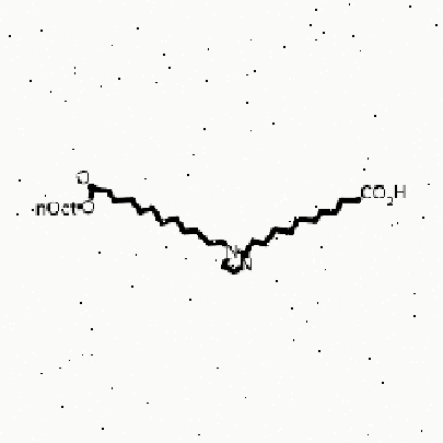 CCCCCCCCOC(=O)CCCCCCCCCCCN1CCN=C1CCCCCCCCCCC(=O)O